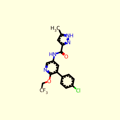 Cc1cc(C(=O)Nc2cnc(OCC(F)(F)F)c(-c3ccc(Cl)cc3)c2)n[nH]1